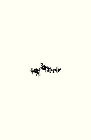 COc1cc(/C=C2/SC(N(C)Cc3nc(C)cs3)=NC2=O)ccc1OCc1ccc(C(F)(F)F)cc1C(F)(F)F